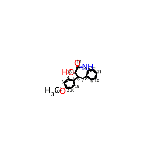 COc1ccc(C2Cc3ccccc3NC(=O)C2O)cc1